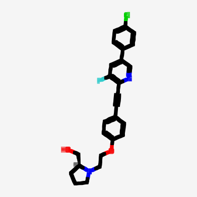 OC[C@@H]1CCCN1CCOc1ccc(C#Cc2ncc(-c3ccc(Cl)cc3)cc2F)cc1